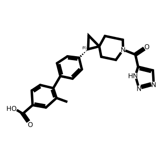 Cc1cc(C(=O)O)ccc1-c1ccc([C@@H]2CC23CCN(C(=O)c2cnn[nH]2)CC3)cc1